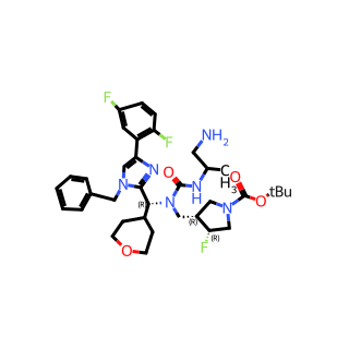 CC(CN)NC(=O)N(C[C@@H]1CN(C(=O)OC(C)(C)C)C[C@@H]1F)[C@@H](c1nc(-c2cc(F)ccc2F)cn1Cc1ccccc1)C1CCOCC1